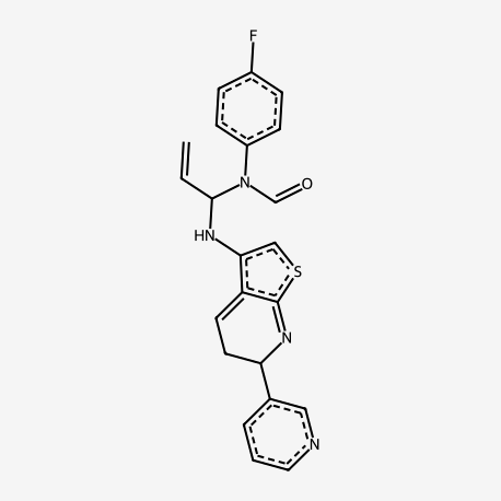 C=CC(Nc1csc2c1=CCC(c1cccnc1)N=2)N(C=O)c1ccc(F)cc1